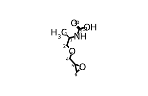 C[C@H](COCC1CO1)NC(=O)O